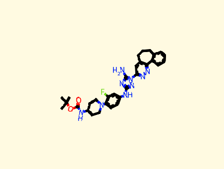 CC(C)(C)OC(=O)NC1CCN(c2ccc(Nc3nc(N)n(-c4cc5c(nn4)-c4ccccc4CCC5)n3)cc2F)CC1